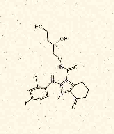 Cn1c(Nc2ccc(I)cc2F)c(C(=O)NOC[C@@H](O)CCO)c2c1C(=O)CCC2